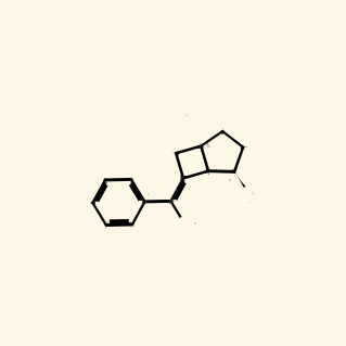 O=C/C(=C1/C[C@H]2CC[C@@H](O)C12)c1ccccc1